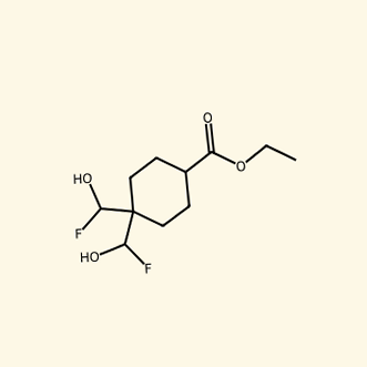 CCOC(=O)C1CCC(C(O)F)(C(O)F)CC1